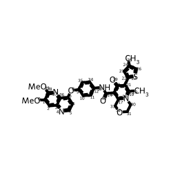 COc1cc2nccc(Oc3ccc(NC(=O)c4c5n(c(C)c(-c6cc(C)cs6)c4=O)CCOC5)cc3)c2nc1OC